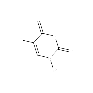 C=C1NC(=O)N(C(C)C)C=C1F